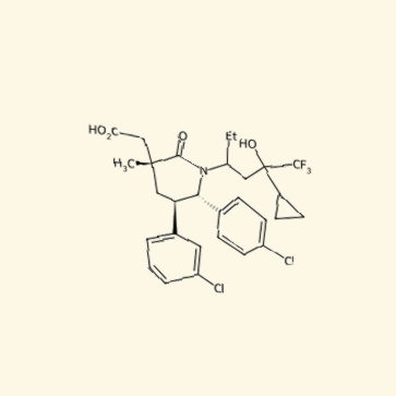 CCC(CC(O)(C1CC1)C(F)(F)F)N1C(=O)[C@@](C)(CC(=O)O)C[C@H](c2cccc(Cl)c2)[C@H]1c1ccc(Cl)cc1